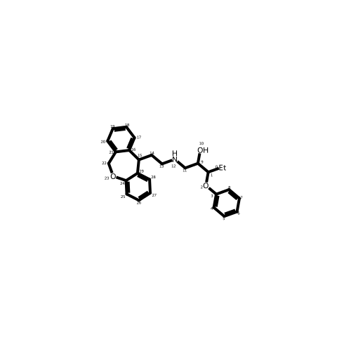 CCC(Oc1ccccc1)C(O)CNCCC1c2ccccc2COc2ccccc21